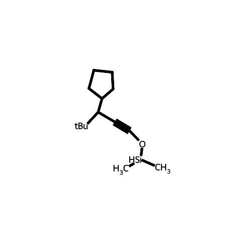 C[SiH](C)OC#CC(C1CCCC1)C(C)(C)C